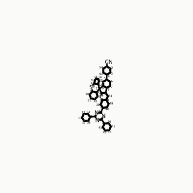 N#Cc1ccc(-c2ccc3c(c2)C2(c4ccccc4Sc4ccccc42)c2cc4cc(-c5nc(-c6ccccc6)nc(-c6ccccc6)n5)ccc4cc2-3)cc1